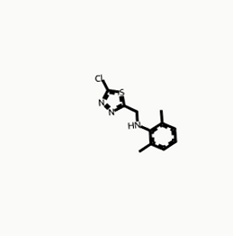 Cc1cccc(C)c1NCc1nnc(Cl)s1